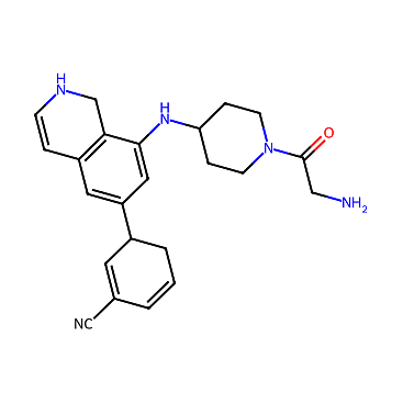 N#CC1=CC(c2cc3c(c(NC4CCN(C(=O)CN)CC4)c2)CNC=C3)CC=C1